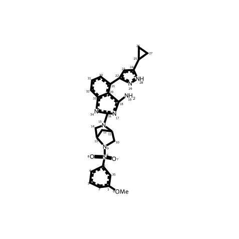 COc1cccc(S(=O)(=O)N2CC3CC2CN3c2nc(N)c3c(-c4cc(C5CC5)[nH]n4)cccc3n2)c1